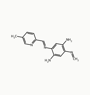 C=Nc1cc(N)c(/N=C/c2ccc(C)cn2)cc1N